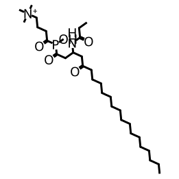 CCCCCCCCCCCCCCCCC(=O)CC(CC(=O)P(O)C(=O)CCC[N+](C)(C)C)NC(=O)CC